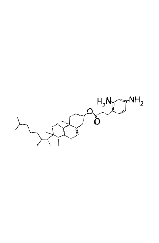 CC(C)CCCC(C)C1CCC2C3CC=C4CC(OC(=O)CCc5ccc(N)cc5N)CCC4(C)C3CCC12C